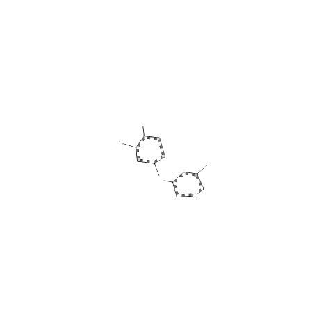 Cc1cncc(Oc2ccc(F)c(N)c2)c1